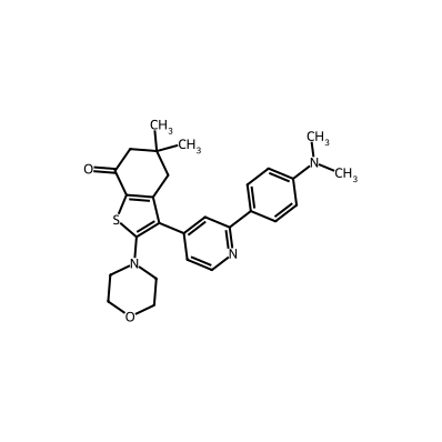 CN(C)c1ccc(-c2cc(-c3c(N4CCOCC4)sc4c3CC(C)(C)CC4=O)ccn2)cc1